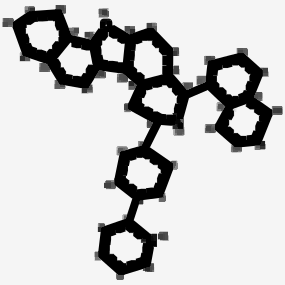 c1ccc(-c2ccc(-c3cc4c(ccc5oc6c7ccccc7ccc6c54)c(-c4cccc5ccccc45)n3)cc2)nc1